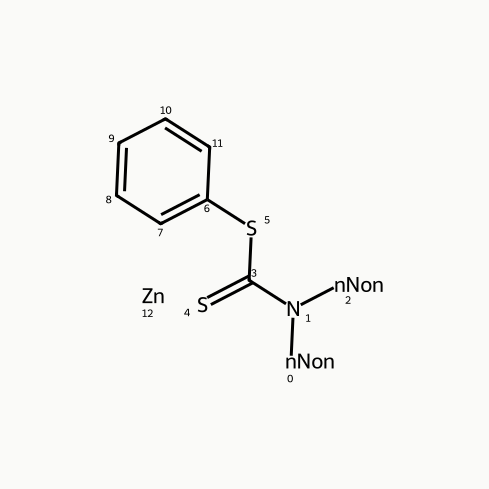 CCCCCCCCCN(CCCCCCCCC)C(=S)Sc1ccccc1.[Zn]